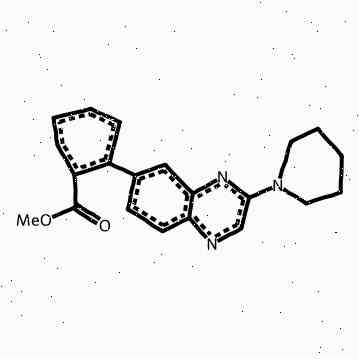 COC(=O)c1ccccc1-c1ccc2ncc(N3CCCCC3)nc2c1